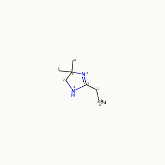 CCCCCC1=NC(C)(C)CN1